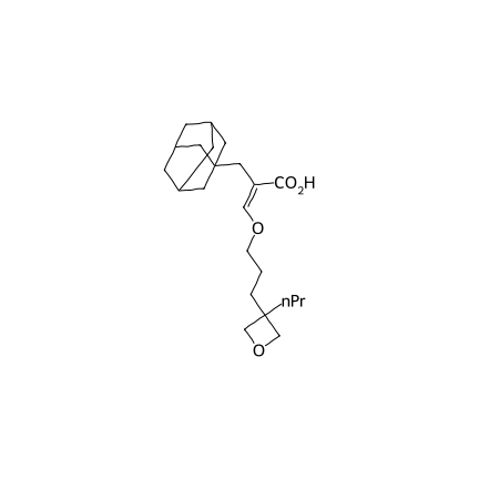 CCCC1(CCCOC=C(CC23CC4CC(CC(C4)C2)C3)C(=O)O)COC1